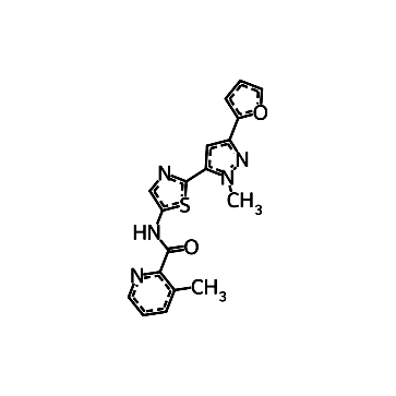 Cc1cccnc1C(=O)Nc1cnc(-c2cc(-c3ccco3)nn2C)s1